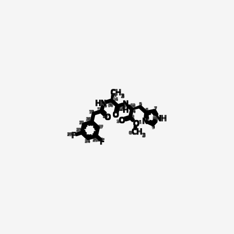 COC(=O)[C@H](Cc1c[nH]cn1)NC(=O)[C@H](C)NC(=O)Cc1cc(F)cc(F)c1